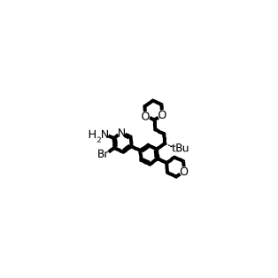 CC(C)(C)[C@@H](CCC1OCCCO1)c1cc(-c2cnc(N)c(Br)c2)ccc1C1CCOCC1